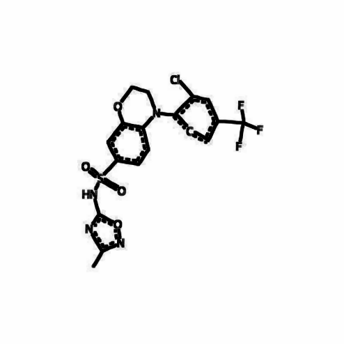 Cc1noc(NS(=O)(=O)c2ccc3c(c2)OCCN3c2ccc(C(F)(F)F)cc2Cl)n1